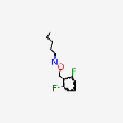 CCCC/[C]=N/OCc1c(F)cccc1F